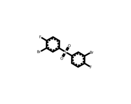 O=S(=O)(c1ccc(F)c(Br)c1)c1ccc(F)c(Br)c1